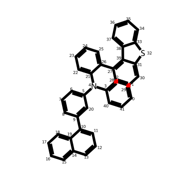 c1ccc(N(c2cccc(-c3cccc4ccccc34)c2)c2ccccc2-c2cccc3sc4ccccc4c23)cc1